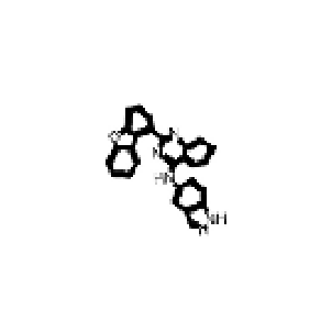 c1ccc2c(Nc3ccc4[nH]ncc4c3)nc(-c3cccc4oc5ccccc5c34)nc2c1